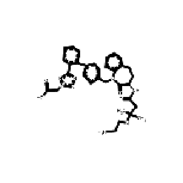 CC(C)(CC(=O)N[C@@H]1CCc2ccccc2N(Cc2ccc(-c3ccccc3-c3nnn(CC(=O)O)n3)cc2)C1=O)NCCN